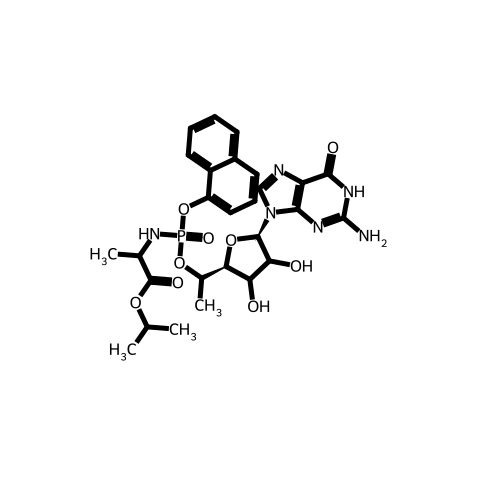 CC(C)OC(=O)C(C)NP(=O)(Oc1cccc2ccccc12)OC(C)[C@H]1O[C@@H](n2cnc3c(=O)[nH]c(N)nc32)C(O)C1O